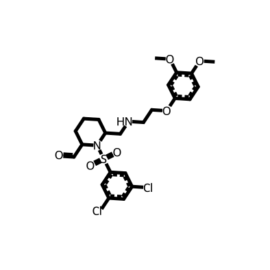 COc1ccc(OCCNCC2CCCC(C=O)N2S(=O)(=O)c2cc(Cl)cc(Cl)c2)cc1OC